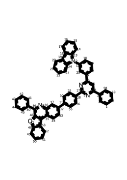 c1ccc(-c2cc(-c3cccc(-n4c5ccccc5c5ccccc54)c3)nc(-c3ccc(-c4ccc5c(c4)nc(-c4ccccc4)c4oc6ccccc6c45)cc3)n2)cc1